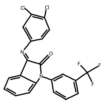 O=C1/C(=N\c2ccc(Cl)c(Cl)c2)c2ccccc2N1c1cccc(C(F)(F)F)c1